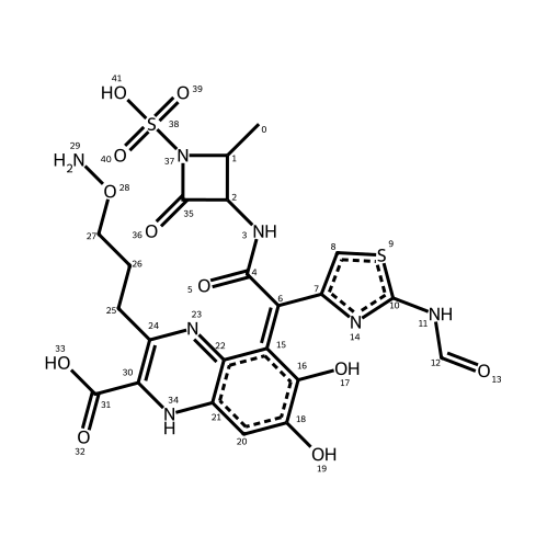 CC1C(NC(=O)C(c2csc(NC=O)n2)=c2c(O)c(O)cc3c2=NC(CCCON)=C(C(=O)O)N3)C(=O)N1S(=O)(=O)O